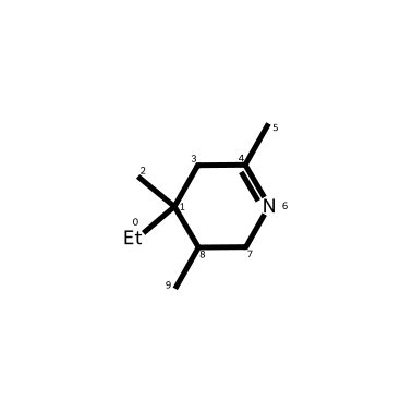 CCC1(C)CC(C)=NCC1C